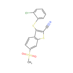 CS(=O)(=O)c1ccc2c(Sc3ccccc3Cl)c(C#N)sc2c1